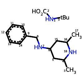 CC(C)(C)NC(=O)O.CC1CC(NCc2ccccc2)CC(C)N1